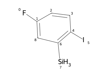 Fc1ccc(I)c([SiH3])c1